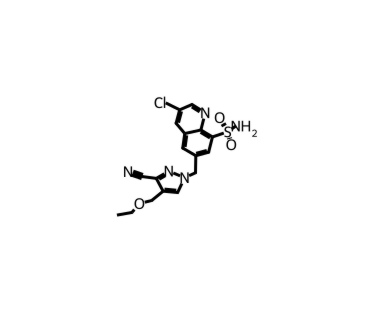 CCOCc1cn(Cc2cc(S(N)(=O)=O)c3ncc(Cl)cc3c2)nc1C#N